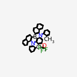 Cc1ccccc1N1c2cc(OC(F)(F)F)cc3c2B(c2ccc4ccccc4c21)c1ccc2ccccc2c1N3c1ccccc1C